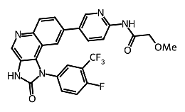 COCC(=O)Nc1ccc(-c2ccc3ncc4[nH]c(=O)n(-c5ccc(F)c(C(F)(F)F)c5)c4c3c2)cn1